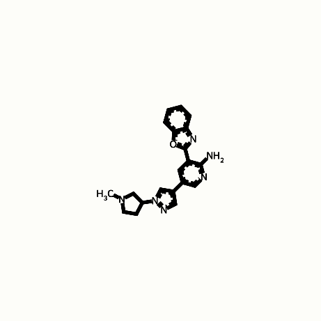 CN1CCC(n2cc(-c3cnc(N)c(-c4nc5ccccc5o4)c3)cn2)C1